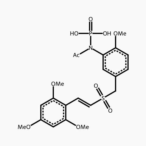 COc1cc(OC)c(C=CS(=O)(=O)Cc2ccc(OC)c(N(C(C)=O)P(=O)(O)O)c2)c(OC)c1